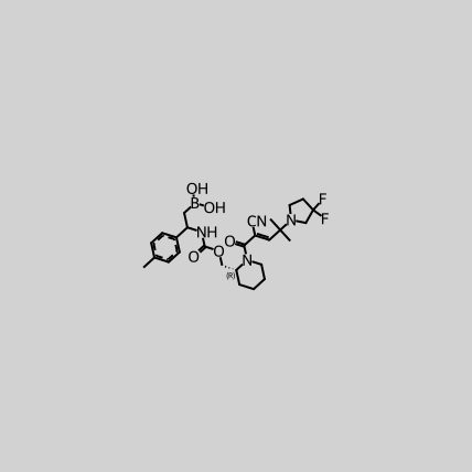 Cc1ccc(C(CB(O)O)NC(=O)OC[C@H]2CCCCN2C(=O)C(C#N)=CC(C)(C)N2CCC(F)(F)C2)cc1